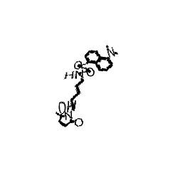 CN(C)c1cccc2c(S(=O)(=O)NCCCCCN3C(=O)C=CC3(C)O)cccc12